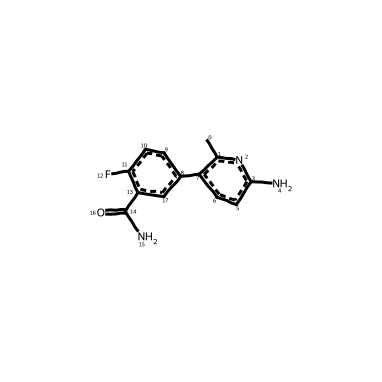 Cc1nc(N)ccc1-c1ccc(F)c(C(N)=O)c1